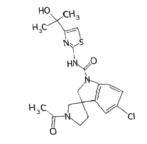 CC(=O)N1CCC2(C1)CN(C(=O)Nc1nc(C(C)(C)O)cs1)c1ccc(Cl)cc12